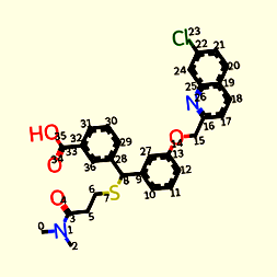 CN(C)C(=O)CCSC(c1cccc(OCc2ccc3ccc(Cl)cc3n2)c1)c1cccc(C(=O)O)c1